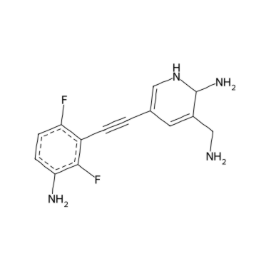 NCC1=CC(C#Cc2c(F)ccc(N)c2F)=CNC1N